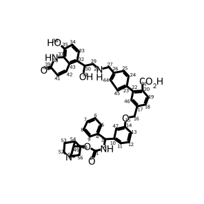 O=C(NC(c1ccccc1)c1cccc(OCc2ccc(C(=O)O)c(-c3ccc(CNCC(O)c4ccc(O)c5[nH]c(=O)ccc45)cc3)c2)c1)OC1CN2CCC1CC2